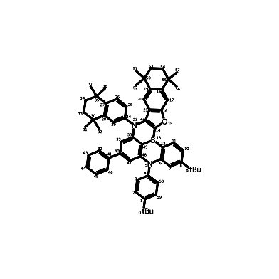 CC(C)(C)c1ccc(N2c3cc(C(C)(C)C)ccc3B3c4oc5cc6c(cc5c4N(c4ccc5c(c4)C(C)(C)CCC5(C)C)c4cc(-c5ccccc5)cc2c43)C(C)(C)CCC6(C)C)cc1